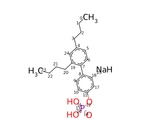 CCCCc1ccc(-c2ccc(OP(=O)(O)O)cc2)c(CCCC)c1.[NaH]